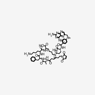 CC(NC(=O)CCCCCN1C(=O)C=CC1=O)C(=O)NC(Cc1ccccc1)C(=O)NC(CCCCN)C(=O)NC(CCCCNC(=O)CC[C@H](NC(=O)c1ccc(N(C)Cc2cnc3nc(N)nc(N)c3n2)cc1)C(=O)O)C(=O)O